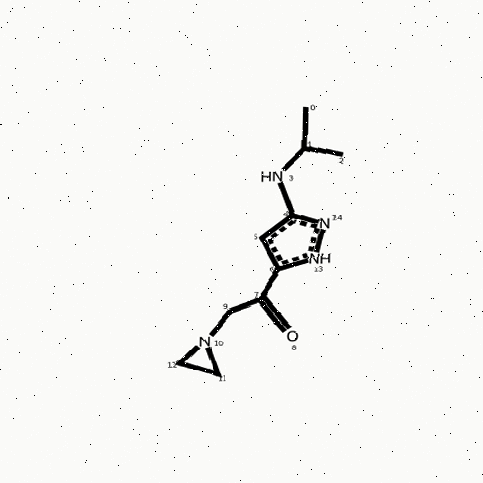 CC(C)Nc1cc(C(=O)CN2CC2)[nH]n1